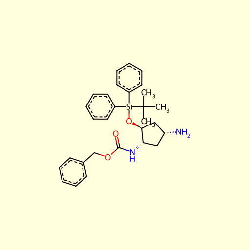 CC(C)(C)[Si](O[C@H]1C[C@H](N)C[C@@H]1NC(=O)OCc1ccccc1)(c1ccccc1)c1ccccc1